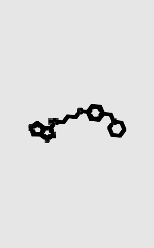 c1cc(OCCCNc2nsc3cscc23)ccc1CN1CCCCC1